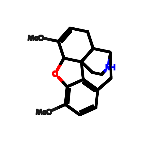 COC1=CCC2C3Cc4ccc(OC)c5c4C2(CCN3)C1O5